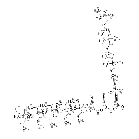 CCC[P+](C)(C)CC.CCC[P+](C)(C)CC.CCC[P+](C)(C)CC.CCC[P+](C)(C)CC.CCC[P+](C)(C)CC.CCC[P+](C)(C)CC.CCC[P+](C)(C)CC.CCC[P+](C)(C)CC.N#CB([O-])[O-].N#CB([O-])[O-].N#CB([O-])[O-].N#CB([O-])[O-]